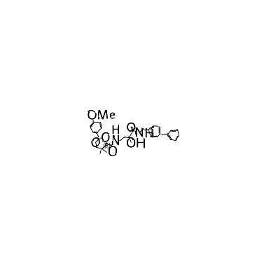 COc1ccc(C2OCC(C)(C)[C@H](C(=O)NCCC(O)C(=O)NCc3ccc(-c4ccccc4)cc3)O2)cc1